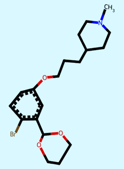 CN1CCC(CCCOc2ccc(Br)c(C3OCCCO3)c2)CC1